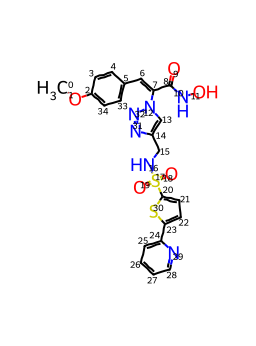 COc1ccc(C=C(C(=O)NO)n2cc(CNS(=O)(=O)c3ccc(-c4ccccn4)s3)nn2)cc1